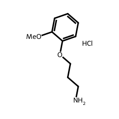 COc1ccccc1OCCCN.Cl